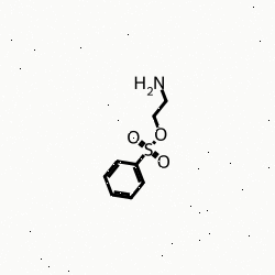 NCCOS(=O)(=O)c1ccccc1